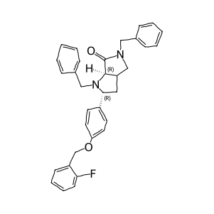 O=C1[C@H]2C(C[C@H](c3ccc(OCc4ccccc4F)cc3)N2Cc2ccccc2)CN1Cc1ccccc1